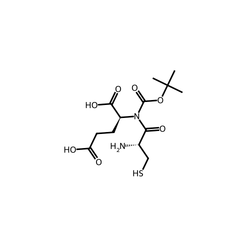 CC(C)(C)OC(=O)N(C(=O)[C@@H](N)CS)[C@@H](CCC(=O)O)C(=O)O